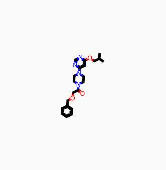 CC(C)COc1cc(N2CCN(C(=O)COCc3ccccc3)CC2)ncn1